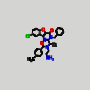 CCC(c1nc2c(oc3ccc(Cl)cc32)c(=O)n1Cc1ccccc1)N(CCN)C(=O)c1ccc(C)cc1